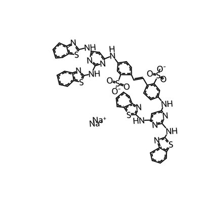 O=S(=O)([O-])c1cc(Nc2cc(Nc3nc4ccccc4s3)nc(Nc3nc4ccccc4s3)n2)ccc1C=Cc1ccc(Nc2cc(Nc3nc4ccccc4s3)nc(Nc3nc4ccccc4s3)n2)cc1S(=O)(=O)[O-].[Na+].[Na+]